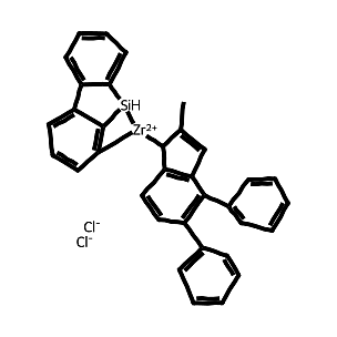 CC1=Cc2c(ccc(-c3ccccc3)c2-c2ccccc2)[CH]1[Zr+2]1[c]2cccc3c2[SiH]1c1ccccc1-3.[Cl-].[Cl-]